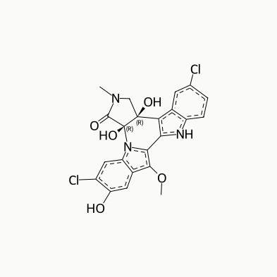 COc1c2n(c3cc(Cl)c(O)cc13)[C@]1(O)C(=O)N(C)C[C@]1(O)c1c-2[nH]c2ccc(Cl)cc12